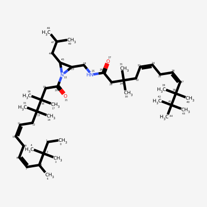 CCC(C)(C)C(C)/C=C\C/C=C\CC(C)(C)C(C)(C)CC(=O)N1C(CNC(=O)CC(C)(C)C/C=C\C/C=C\C(C)(C)C(C)(C)C)C1CC(C)C